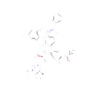 C[C@@H]1c2c(C(F)(F)F)nn(CC(=O)NC(Cc3cc(F)cc(F)c3)c3nc4nc(-c5ccccc5)sc4cc3-c3ccc(F)c(C(N)=O)c3)c2C(F)(F)[C@@H]1C